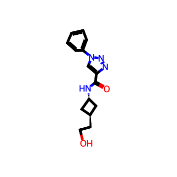 O=C(N[C@H]1C[C@H](CCO)C1)c1cn(-c2ccccc2)nn1